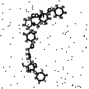 Cc1nc(-c2ccccc2)oc1C#CCOc1ccc([C@@H]2CC[C@@H](C(=O)O)N2Cc2ccc(Oc3ccccc3)cc2)cc1